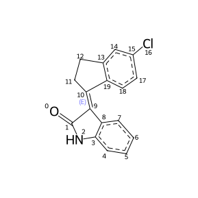 O=C1Nc2ccccc2/C1=C1/CCc2cc(Cl)ccc21